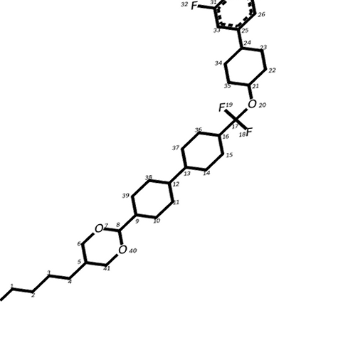 CCCCCC1COC(C2CCC(C3CCC(C(F)(F)OC4CCC(c5cc(F)c(F)c(F)c5)CC4)CC3)CC2)OC1